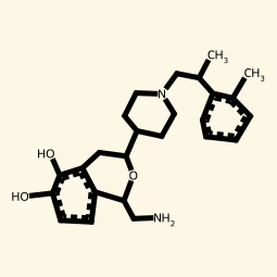 Cc1ccccc1C(C)CN1CCC(C2Cc3c(ccc(O)c3O)C(CN)O2)CC1